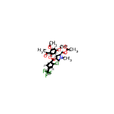 COc1cc(OC)c([C@H]2CCN(C)[C@@H]2COC(C)=O)c(OC(=O)c2ccc(C(F)(F)F)cc2Cl)c1C(C)=O